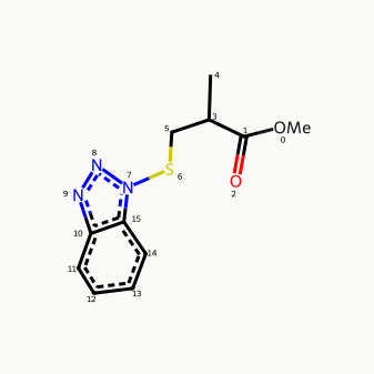 COC(=O)C(C)CSn1nnc2ccccc21